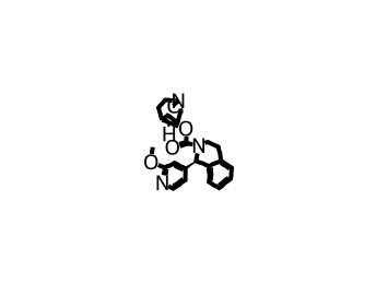 COc1cc([C@@H]2c3ccccc3CCN2C(=O)O[C@@H]2CN3CCC2CC3)ccn1